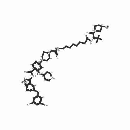 CC(C)(C)[C@H](NC(=O)CCCCCCCNC(=O)CN1CCN(c2ccc(C(=O)Nc3n[nH]c4ccc(Cc5cc(F)cc(F)c5)cc34)c(NC3CCOCC3)c2)CC1)C(=O)N1CCC(O)C1